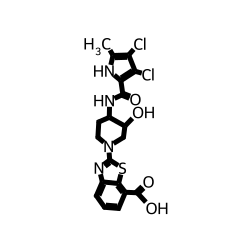 Cc1[nH]c(C(=O)NC2CCN(c3nc4cccc(C(=O)O)c4s3)CC2O)c(Cl)c1Cl